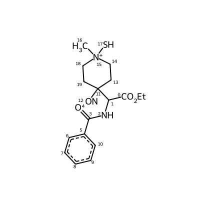 CCOC(=O)C(NC(=O)c1ccccc1)C1(N=O)CC[N+](C)(S)CC1